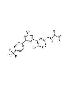 CN(C)C(=O)NCc1ccc(Cl)c(-c2nc(O)nc(-c3ccc(C(F)(F)F)cc3)n2)c1